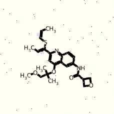 C/C=C\S/C(=C\C)c1cc(OC(C)(C)COC)c2cc(NC(=O)C3COC3)ccc2n1